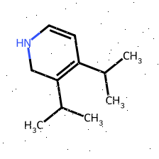 CC(C)C1=C(C(C)C)CNC=C1